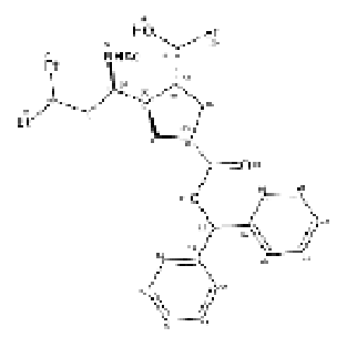 CCC(CC)C[C@@H](NC(C)=O)[C@@H]1C[C@@H](C(=O)OC(c2ccccc2)c2ccccc2)C[C@H]1C(O)CC